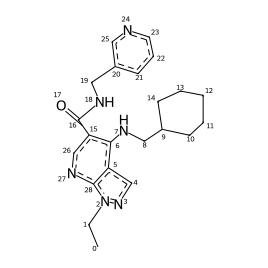 CCn1ncc2c(NCC3CCCCC3)c(C(=O)NCc3cccnc3)cnc21